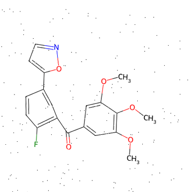 COc1cc(C(=O)c2cc(-c3ccno3)ccc2F)cc(OC)c1OC